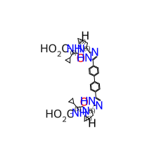 O=C(O)N[C@H](C(=O)N1C2C[C@H]2C[C@H]1c1ncc(-c2ccc(-c3ccc(-c4cnc([C@@H]5C[C@@H]6CC6N5C(=O)[C@@H](NC(=O)O)C5CC5)[nH]4)cc3)cc2)[nH]1)C1CC1